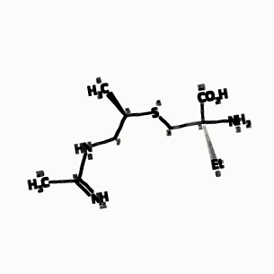 CC[C@](N)(CS[C@H](C)CNC(C)=N)C(=O)O